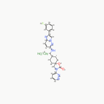 Cl.Cl.O=C1OC2(CCC(CNc3ccc4nc(-c5cccc(F)c5)cn4n3)CC2)CN1c1cccnn1